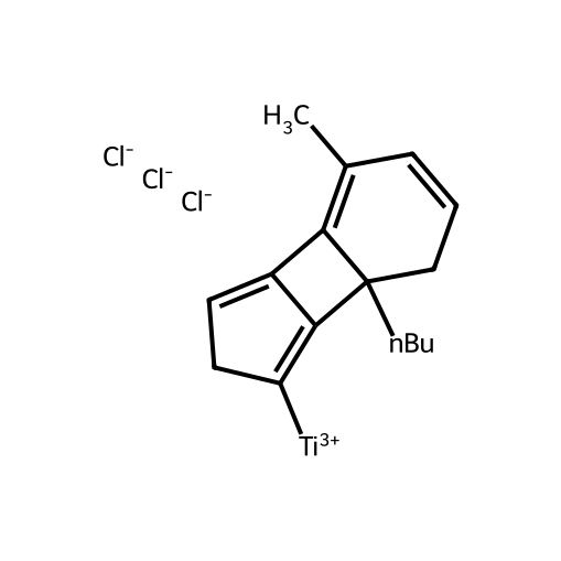 CCCCC12CC=CC(C)=C1C1=CC[C]([Ti+3])=C12.[Cl-].[Cl-].[Cl-]